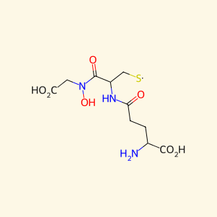 NC(CCC(=O)NC(C[S])C(=O)N(O)CC(=O)O)C(=O)O